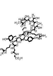 CC(C)C[C@H](NC(=O)[C@H](CCCNC(=N)N)NC(=O)[C@@H](NC(=O)[C@@H](NC(=O)[C@@H](NC(=O)[C@H](C)N)[C@@H](C)O)[C@@H](C)O)[C@@H](C)O)C(=O)N[C@@H](Cc1ccc(O)cc1)C(=O)N[C@@H](Cc1ccc(O)cc1)C(=O)N[C@@H](CCCNC(=N)N)C(=O)NCC(=O)NCC(=O)O